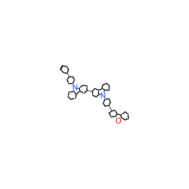 c1ccc(-c2ccc(-n3c4ccccc4c4cc(-c5ccc6c(c5)c5ccccc5n6-c5ccc(-c6ccc7oc8ccccc8c7c6)cc5)ccc43)cc2)cc#1